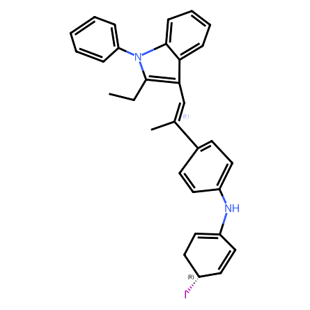 CCc1c(/C=C(\C)c2ccc(NC3=CC[C@@H](I)C=C3)cc2)c2ccccc2n1-c1ccccc1